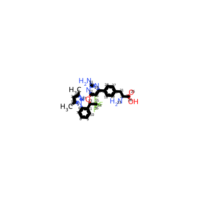 Cc1cc(C)n(-c2ccccc2C(Oc2cc(-c3ccc(C[C@H](N)C(=O)O)cc3)nc(N)n2)C(F)(F)F)n1